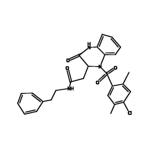 Cc1cc(S(=O)(=O)N2c3ccccc3NC(=O)C2CC(=O)NCCc2ccccc2)c(C)cc1Cl